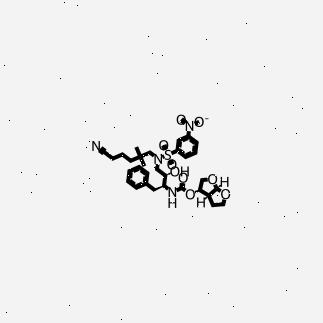 CC(C)(CCCC#N)CN(C[C@H](O)[C@H](Cc1ccccc1)NC(=O)O[C@H]1CO[C@H]2OCC[C@H]21)S(=O)(=O)c1cccc([N+](=O)[O-])c1